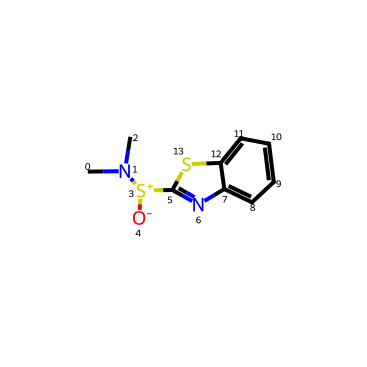 CN(C)[S+]([O-])c1nc2ccccc2s1